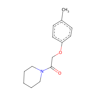 Cc1ccc(OCC(=O)N2CCCCC2)cc1